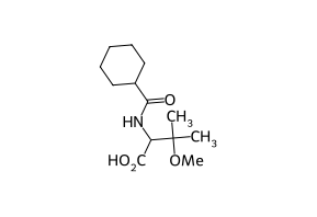 COC(C)(C)C(NC(=O)C1CCCCC1)C(=O)O